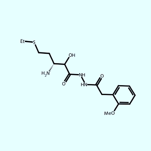 CCSCC[C@@H](N)C(O)C(=O)NNC(=O)Cc1ccccc1OC